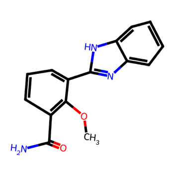 COc1c(C(N)=O)cccc1-c1nc2ccccc2[nH]1